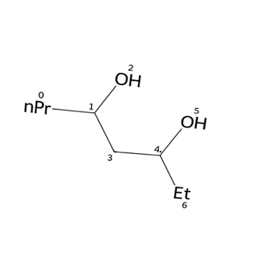 CCCC(O)C[C](O)CC